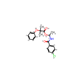 CC(NC(=O)c1ccc(Cl)cc1)OC(=O)C(C)(C)Oc1ccccc1